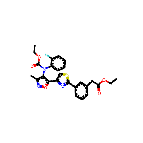 CCOC(=O)Cc1cccc(-c2nc(-c3onc(C)c3N(C(=O)OCC)c3ccccc3F)cs2)c1